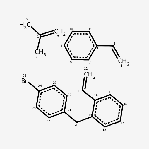 C=C(C)C.C=Cc1ccccc1.C=Cc1ccccc1Cc1ccc(Br)cc1